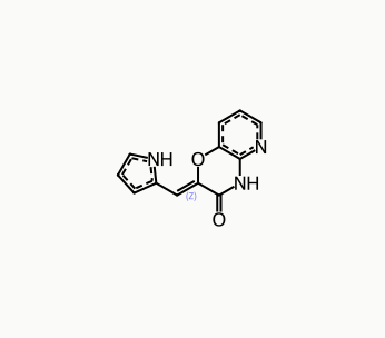 O=C1Nc2ncccc2O/C1=C\c1ccc[nH]1